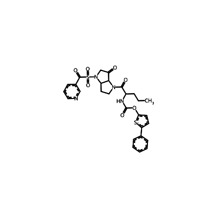 CCCC(NC(=O)Oc1ccc(-c2ccccc2)s1)C(=O)N1CCC2C1C(=O)CN2S(=O)(=O)C(=O)c1cccnc1